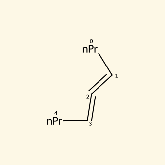 [CH2]CCC=C=CCCC